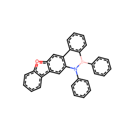 c1ccc(B2c3ccccc3-c3cc4oc5ccccc5c4cc3N2c2ccccc2)cc1